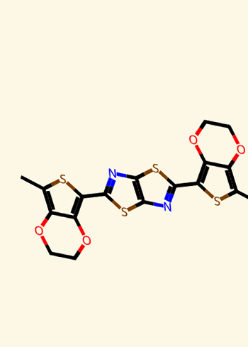 Cc1sc(-c2nc3sc(-c4sc(C)c5c4OCCO5)nc3s2)c2c1OCCO2